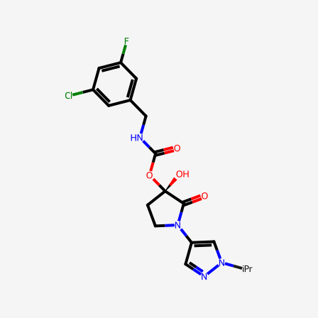 CC(C)n1cc(N2CC[C@](O)(OC(=O)NCc3cc(F)cc(Cl)c3)C2=O)cn1